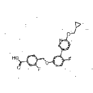 O=C(O)c1ccc(COc2ccc(F)c(-c3ccc(OCC4CC4)nc3)c2)c(F)c1